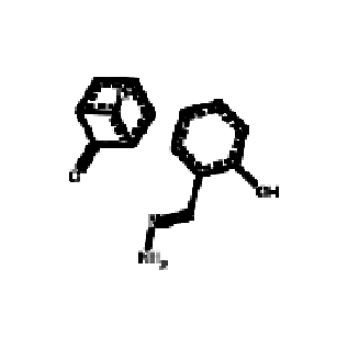 NN=Cc1ccccc1O.O=C1c2cccc1c2O